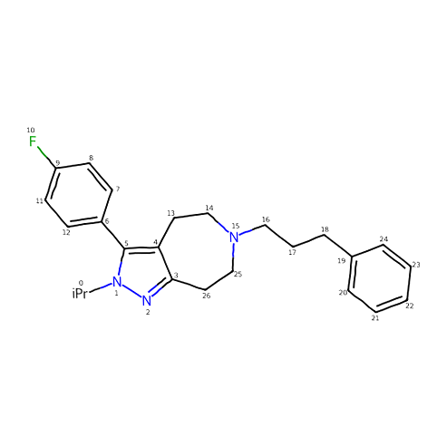 CC(C)n1nc2c(c1-c1ccc(F)cc1)CCN(CCCc1ccccc1)CC2